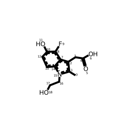 Cc1c(CC(=O)O)c2c(F)c(O)ccc2n1CCO